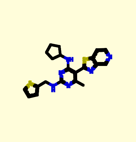 Cc1nc(NCc2cccs2)nc(NC2CCCC2)c1-c1nc2cnccc2s1